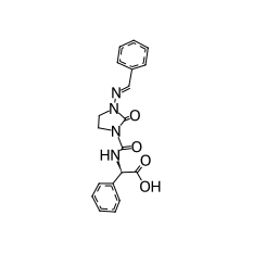 O=C(O)[C@H](NC(=O)N1CCN(N=Cc2ccccc2)C1=O)c1ccccc1